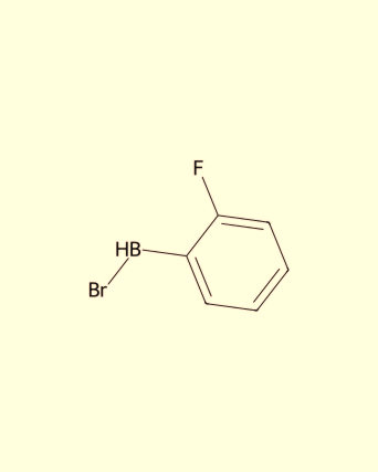 Fc1ccccc1BBr